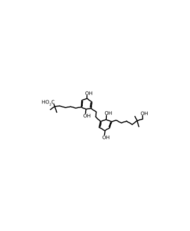 CC(C)(CO)CCCCC1=CC(O)C=C(CCC2=CC(O)C=C(CCCCC(C)(C)C(=O)O)C2O)C1O